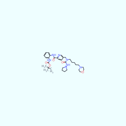 CC(C)(C)OC(=O)Nc1ccccc1NC(=O)c1ccc(CN(CCCCCN2CCOCC2)C(=O)NN2CCCC2)cn1